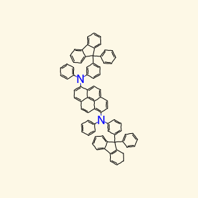 C1=CC2=C(CC1)C(c1ccccc1)(c1cccc(N(c3ccccc3)c3ccc4ccc5c(N(c6ccccc6)c6cccc(C7(c8ccccc8)c8ccccc8-c8ccccc87)c6)ccc6ccc3c4c65)c1)c1ccccc12